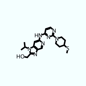 CSC1CCN(c2nccc(Nc3cc4c(cn3)nc(CO)n4C(C)C)n2)CC1